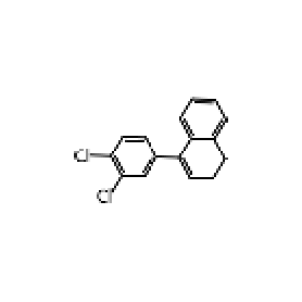 Clc1ccc(C2=CCCc3ccccc32)cc1Cl